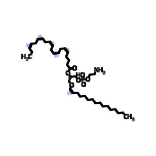 CC/C=C\C/C=C\C/C=C\C/C=C\C/C=C\CCCC(=O)O[C@H](CO/C=C\CCCCCCCCCCCCCC)COP(=O)(O)OCCN